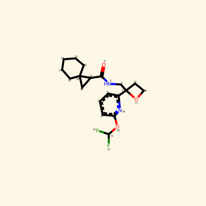 O=C(NCC1(c2cccc(OC(F)F)n2)CCO1)C1CC12CCCCC2